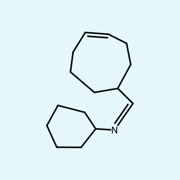 C1=C\CCC(/C=N\C2CCCCC2)CCC/1